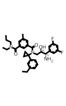 CCCN(CC)C(=O)c1cc(C)cc(C(=O)N(C[C@@H](O)[C@@H](N)c2cc(F)cc(F)c2)C2(c3cccc(CC)c3)CC2)c1